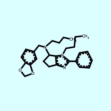 CCCCN(Cc1ccc2c(c1)OCO2)C1CCc2nc(-c3ccccc3)n(CCCC)c21